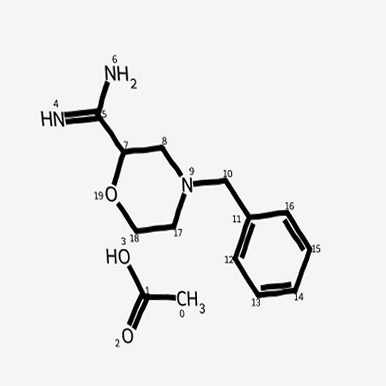 CC(=O)O.N=C(N)C1CN(Cc2ccccc2)CCO1